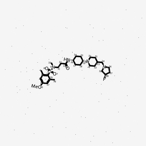 COc1cc(C)c(S(=O)(=O)N(C)CCC(=O)N[C@H]2CC[C@@H](N3CCC(CN4CC[C@@H](F)C4)CC3)CC2)c(C)c1